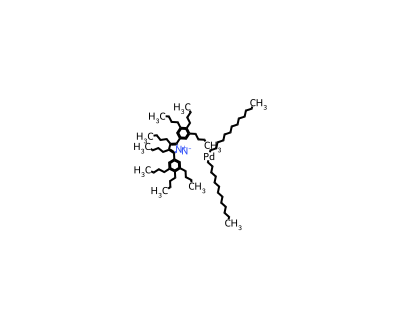 CCCCC1=C(c2cc(CCCC)c(CCCC)c(CCCC)c2)[N+](=[N-])C(c2cc(CCCC)c(CCCC)c(CCCC)c2)=C1CCCC.CCCCCCCCCCCC[CH2][Pd][CH2]CCCCCCCCCCCC